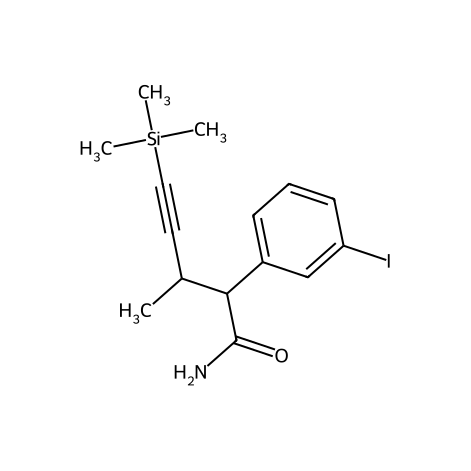 CC(C#C[Si](C)(C)C)C(C(N)=O)c1cccc(I)c1